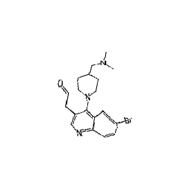 CN(C)CC1CCN(c2c(CC=O)cnc3ccc(Br)cc23)CC1